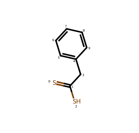 S=C(S)Cc1ccccc1